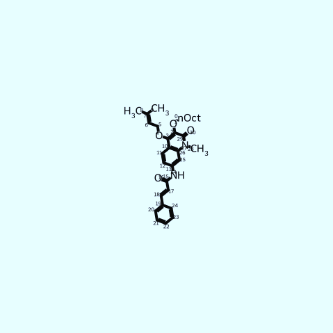 CCCCCCCCOc1c(OCC=C(C)C)c2ccc(NC(=O)C=Cc3ccccc3)cc2n(C)c1=O